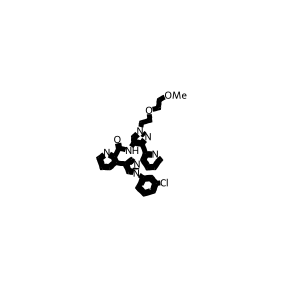 COCCOCCn1cc(NC(=O)c2ncccc2-c2cnn(-c3cccc(Cl)c3)c2)c(-c2ccccn2)n1